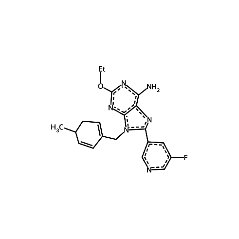 CCOc1nc(N)c2nc(-c3cncc(F)c3)n(CC3=CCC(C)C=C3)c2n1